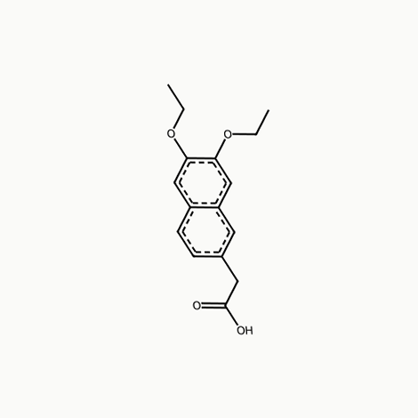 CCOc1cc2ccc(CC(=O)O)cc2cc1OCC